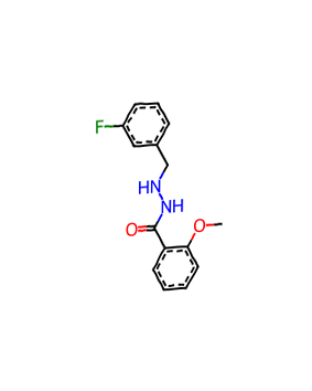 COc1ccccc1C(=O)NNCc1cccc(F)c1